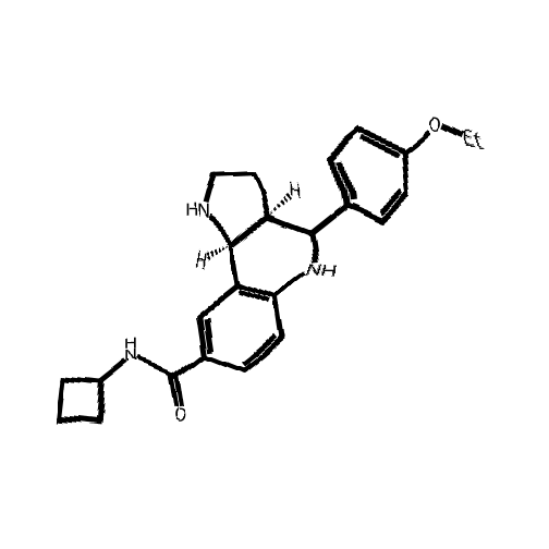 CCOc1ccc(C2Nc3ccc(C(=O)NC4CCC4)cc3[C@H]3NCC[C@@H]23)cc1